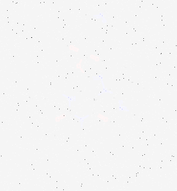 Cc1cc(Cl)ccc1N(C(=O)NC(C)C1CC1)C(=O)C1CC(OS(=O)(=O)c2ccncc2)=NN1c1ncccc1Cl